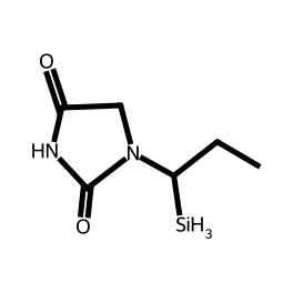 CCC([SiH3])N1CC(=O)NC1=O